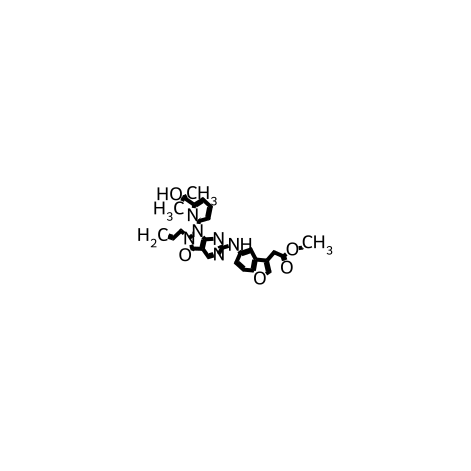 C=CCn1c(=O)c2cnc(Nc3ccc4occ(CC(=O)OCC)c4c3)nc2n1-c1cccc(C(C)(C)O)n1